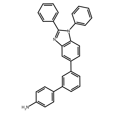 Nc1ccc(-c2cccc(-c3ccc4c(c3)nc(-c3ccccc3)n4-c3ccccc3)c2)cc1